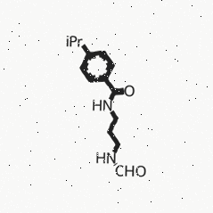 CC(C)c1ccc(C(=O)NCCCNC=O)cc1